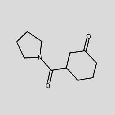 O=C1CCCC(C(=O)N2CCCC2)C1